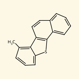 Cc1cccc2sc3c4ccccc4ccc3c12